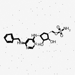 NS(=O)(=O)OC[C@H]1C[C@@H](Nc2cc(NCc3ccccc3)ncn2)[C@H](O)[C@@H]1O